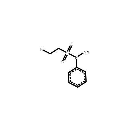 CCCN(c1ccccc1)S(=O)(=O)CCF